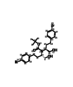 CC(C)(C)OC(=O)N([C@H](CO)CCc1ccc(Br)cc1)[C@H](CO)CCc1ccc(Br)cc1